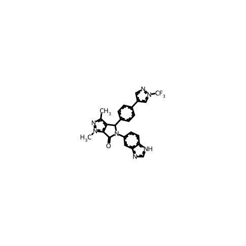 Cc1nn(C)c2c1C(c1ccc(-c3cnn(C(F)(F)F)c3)cc1)N(c1ccc3[nH]cnc3c1)C2=O